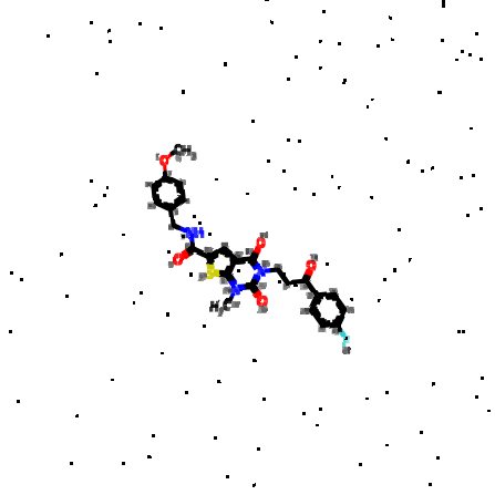 COc1ccc(CNC(=O)c2cc3c(=O)n(CCC(=O)c4ccc(F)cc4)c(=O)n(C)c3s2)cc1